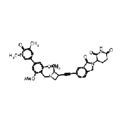 COc1cc(-c2cc(C)c(=O)n(C)c2)cc(OC)c1CN1CC(C#Cc2ccc3c(c2)C(=O)N(C2CCC(=O)NC2=O)C3)C1C